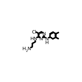 CC1=C(C)CC(Nc2ncc(Cl)c(NCCCN)n2)C=C1